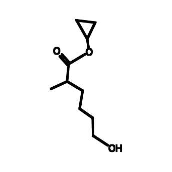 CC(CCCCO)C(=O)OC1CC1